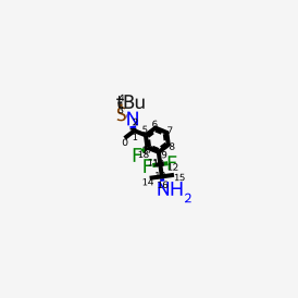 C/C(=N\SC(C)(C)C)c1cccc(C(F)(F)C(C)(C)N)c1F